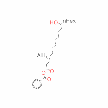 CCCCCCC(O)CCCCCCCCCCC(=O)OC(=O)c1ccccc1.[AlH3]